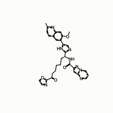 COc1cc2nc(C)ccc2cc1-c1cnc([C@H](CCCCCC(=O)c2ncco2)NC(=O)c2cc3ncccn3n2)[nH]1